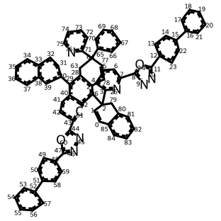 C1=CC(c2cccc(-c3nnc(-c4ccc(-c5ccccc5)cc4)o3)n2)(c2c3c(c(-c4ccc5ccccc5c4)c4ccc(-c5nnc(-c6ccc(-c7ccccc7)cc6)o5)cc24)CC(c2ccccc2)(c2ccccn2)C=C3)Cc2ccccc21